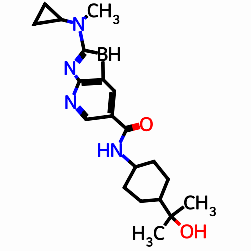 CN(C1=Nc2ncc(C(=O)NC3CCC(C(C)(C)O)CC3)cc2B1)C1CC1